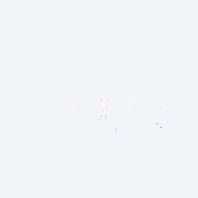 CC(OCc1ccccc1)C(=O)N[C@H]1CNCCO1